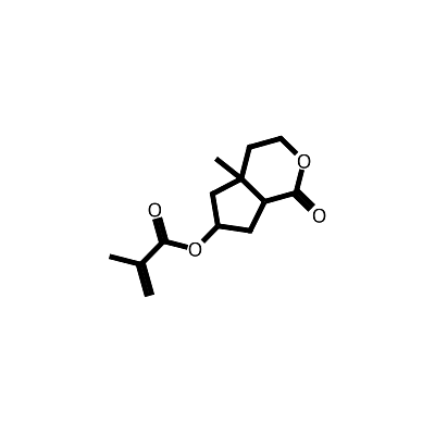 C=C(C)C(=O)OC1CC2C(=O)OCCC2(C)C1